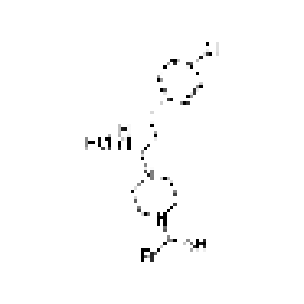 CCC(S)N1CCN(CCCc2ccc(Cl)cc2)CC1.Cl.Cl